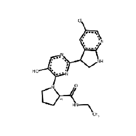 O=C(NCC(F)(F)F)[C@H]1CCCN1c1nc(C2CNc3ncc(Cl)cc32)ncc1O